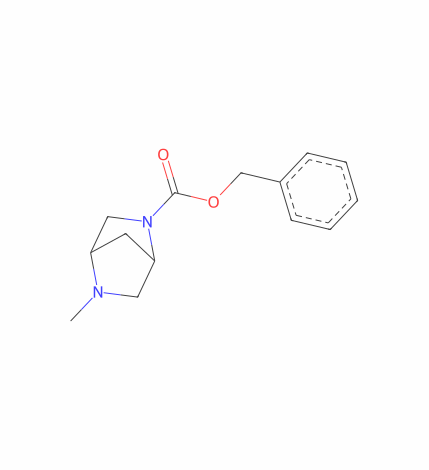 CN1CC2CC1CN2C(=O)OCc1ccccc1